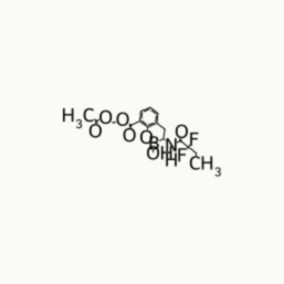 CCC(F)(F)C(=O)N[C@H]1Cc2cccc(C(=O)OCOC(C)=O)c2OB1O